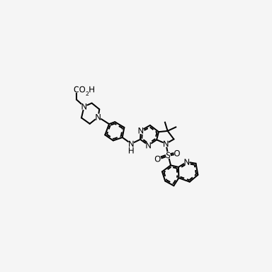 CC1(C)CN(S(=O)(=O)c2cccc3cccnc23)c2nc(Nc3ccc(N4CCN(CC(=O)O)CC4)cc3)ncc21